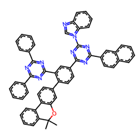 CC1(C)Oc2cc(-c3ccc(-c4nc(-c5ccc6ccccc6c5)nc(-n5cnc6ccccc65)n4)cc3-c3nc(-c4ccccc4)nc(-c4ccccc4)n3)ccc2-c2ccccc21